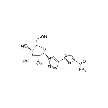 NC(=O)c1csc(-c2cnn([C@@H]3O[C@@H](CO)[C@H](O)[C@@H](O)[C@H]3O)c2)n1